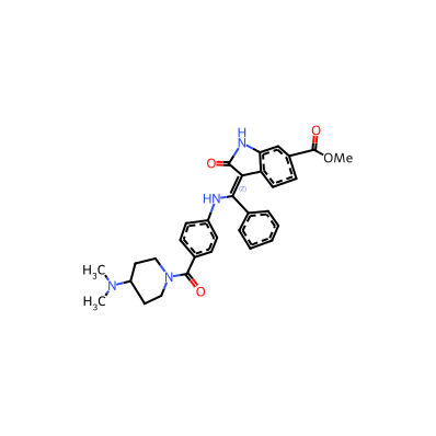 COC(=O)c1ccc2c(c1)NC(=O)/C2=C(\Nc1ccc(C(=O)N2CCC(N(C)C)CC2)cc1)c1ccccc1